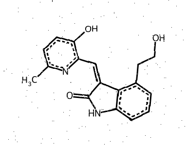 Cc1ccc(O)c(/C=C2\C(=O)Nc3cccc(CCO)c32)n1